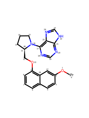 CC(C)Oc1ccc2cccc(OC[C@H]3CCCN3c3ncnc4[nH]cnc34)c2c1